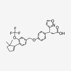 CC1(C)CCC=C1c1ccc(COc2ccc([C@H](CC(=O)O)c3ccon3)cc2)cc1OC(F)(F)F